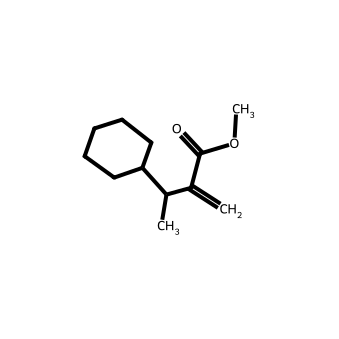 C=C(C(=O)OC)C(C)C1CCCCC1